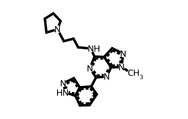 Cn1ncc2c(NCCCN3CCCC3)nc(-c3cccc4[nH]ncc34)nc21